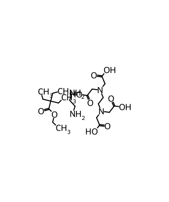 CCOC(=O)C(CC)(CC)CC.NCCN.O=C(O)CN(CCN(CC(=O)O)CC(=O)O)CC(=O)O